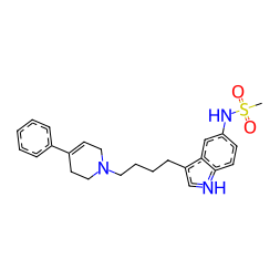 CS(=O)(=O)Nc1ccc2[nH]cc(CCCCN3CC=C(c4ccccc4)CC3)c2c1